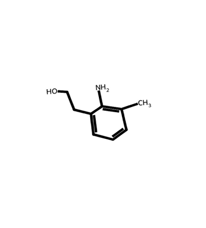 Cc1cccc(CCO)c1N